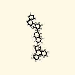 c1ccc2c(c1)ccc1oc3c(-c4ccc5cc(-c6cnc7c8ccccc8c8ccccc8c7n6)ccc5c4)cccc3c12